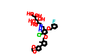 Cc1c(COc2cc(OCc3cccc(F)c3)c(CNCC(O)C(O)C(O)C(O)CO)cc2Cl)cccc1-c1ccc2c(c1)OCCO2